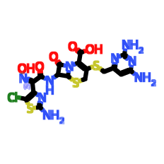 Nc1cc(CSC2=C(C(=O)O)N3C(=O)C(NC(=O)/C(=N\O)c4nc(N)sc4Cl)C3SC2)nc(N)n1